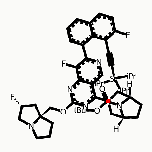 CC(C)[Si](C#Cc1c(F)ccc2cccc(-c3ncc4c(N5C[C@H]6CC[C@@H](C5)N6C(=O)OC(C)(C)C)nc(OC[C@@]56CCCN5C[C@H](F)C6)nc4c3F)c12)(C(C)C)C(C)C